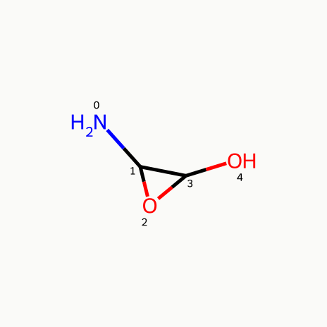 NC1OC1O